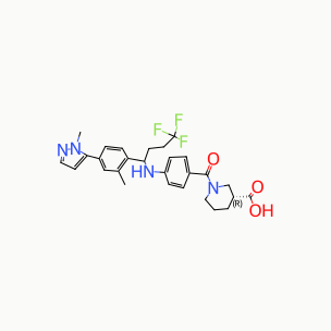 Cc1cc(-c2ccnn2C)ccc1C(CCC(F)(F)F)Nc1ccc(C(=O)N2CCC[C@@H](C(=O)O)C2)cc1